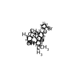 CC(C)C(=O)N1c2cccc(O)c2NC2=C(C(=O)CC(C)(C)C2)C1c1ccc(Oc2ccccc2Br)cc1Cl